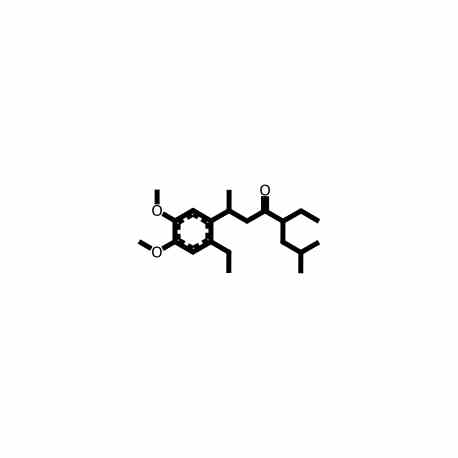 CCc1cc(OC)c(OC)cc1C(C)CC(=O)C(CC)CC(C)C